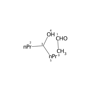 CC=O.CCCC(O)CCC